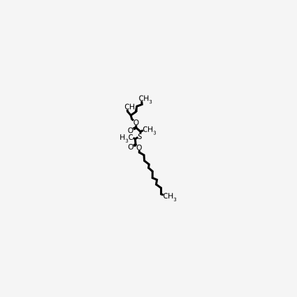 CCCCCCCCCCCCOC(=O)C(C)SC(C)C(=O)OCC(CC)CCCC